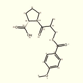 COc1ccc(C(=O)SCC(C)C(=O)N2CCC[C@H]2C(=O)O)cc1